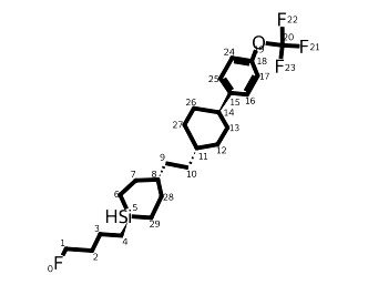 FCCCC[Si@H]1CC[C@H](CC[C@H]2CC[C@H](c3ccc(OC(F)(F)F)cc3)CC2)CC1